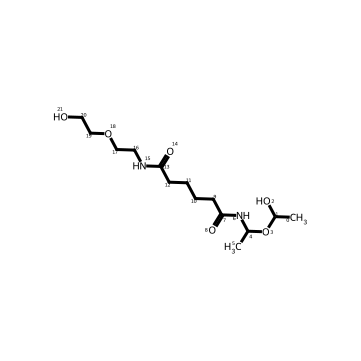 CC(O)OC(C)NC(=O)CCCCC(=O)NCCOCCO